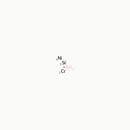 B.[Cr].[Ni].[Si]